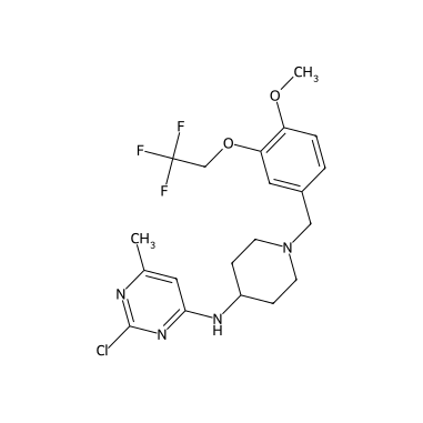 COc1ccc(CN2CCC(Nc3cc(C)nc(Cl)n3)CC2)cc1OCC(F)(F)F